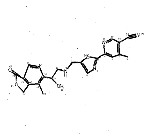 Cc1cc(-c2ncc(CNCC(O)c3ccc4c(c3C)COC4=O)s2)ncc1C#N